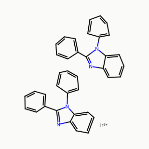 [Ir+3].c1ccc(-c2nc3ccccc3n2-c2ccccc2)cc1.c1ccc(-c2nc3ccccc3n2-c2ccccc2)cc1